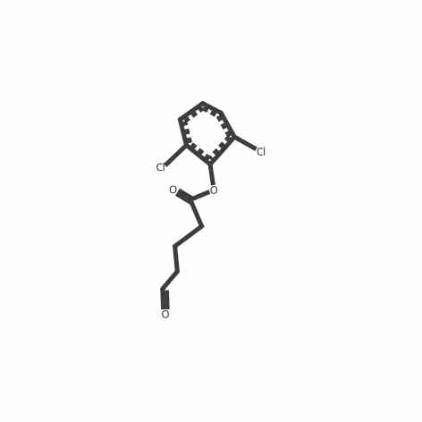 O=CCCCC(=O)Oc1c(Cl)cccc1Cl